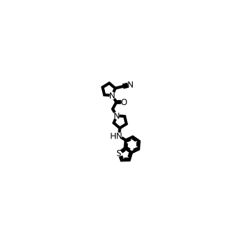 N#CC1CCCN1C(=O)CN1CCC(Nc2cccc3ccsc23)C1